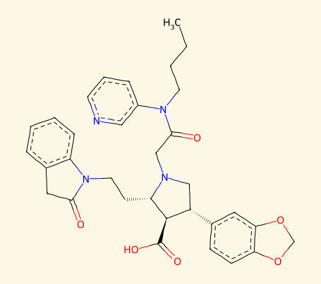 CCCCN(C(=O)CN1C[C@H](c2ccc3c(c2)OCO3)[C@@H](C(=O)O)[C@@H]1CCN1C(=O)Cc2ccccc21)c1cccnc1